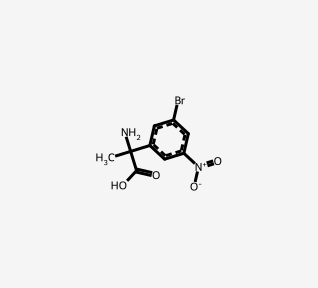 CC(N)(C(=O)O)c1cc(Br)cc([N+](=O)[O-])c1